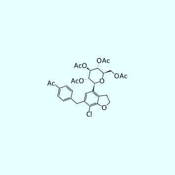 CC(=O)OC[C@H]1O[C@@H](c2cc(Cc3ccc(C(C)=O)cc3)c(Cl)c3c2CCO3)[C@H](OC(C)=O)[C@@H](OC(C)=O)[C@@H]1OC(C)=O